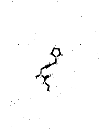 C=COC(=O)N(C)CC#CCN1CCCC1